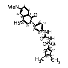 CNc1ccc2c(=O)n(-c3ccc(NC(=O)NS(=O)(=O)c4cc(C)c(C)s4)cc3)cc(S)c2c1